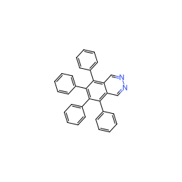 c1ccc(-c2c(-c3ccccc3)c(-c3ccccc3)c3cnncc3c2-c2ccccc2)cc1